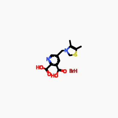 Br.CC1=C(C)N(Cc2cnc(C(=O)O)c(C(=O)O)c2)CS1